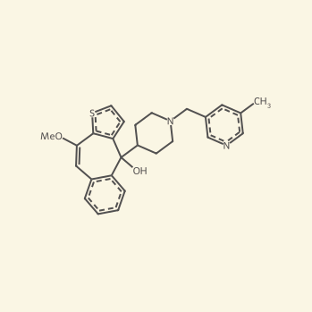 COC1=Cc2ccccc2C(O)(C2CCN(Cc3cncc(C)c3)CC2)c2ccsc21